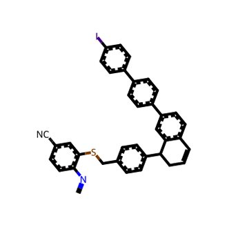 C=Nc1ccc(C#N)cc1SCc1ccc(C2CC=Cc3ccc(-c4ccc(-c5ccc(I)cc5)cc4)cc32)cc1